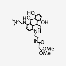 COC(CC(=O)NCCNc1ccc(NCCN(C)C)c2c1C(=O)c1c(O)ccc(O)c1C2=O)OC